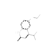 C=C1C=C(C(C)C)c2cc(OCC)ccc2N1